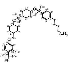 CCCCCc1ccc(C(F)(F)OC2CCC(C(F)(F)OC3CCC(COc4ccc(C(F)(F)F)c(F)c4)CC3)CC2)cc1